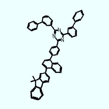 CC1(C)c2ccccc2-c2ccc(-c3ccc(-c4ccc(-c5nc(-c6cccc(-c7ccccc7)c6)nc(-c6cccc(-c7ccccc7)c6)n5)cc4)c4ccccc34)cc21